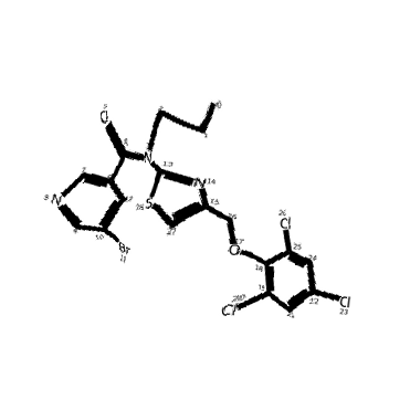 CCCN(C(=O)c1cncc(Br)c1)c1nc(COc2c(Cl)cc(Cl)cc2Cl)cs1